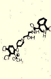 CS(=O)(=O)c1c(OC2CCN(C[C@H](O)CNC(=O)c3c[nH]c(=O)c4ccccc34)CC2)ccc(Cl)c1Cl